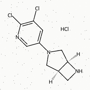 Cl.Clc1cc(N2C[C@@H]3CN[C@@H]3C2)cnc1Cl